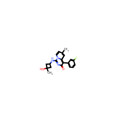 CC1(O)CC(Nc2nc(=O)c(-c3cccc(F)c3)c3cc(C(F)(F)F)ccn23)C1